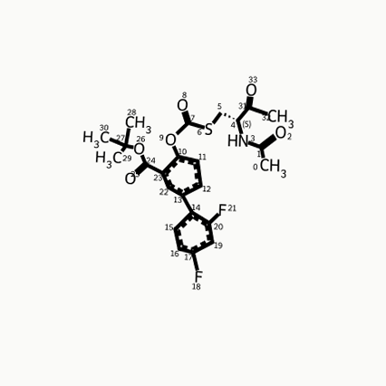 CC(=O)N[C@H](CSC(=O)Oc1ccc(-c2ccc(F)cc2F)cc1C(=O)OC(C)(C)C)C(C)=O